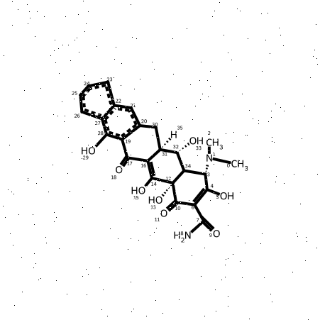 CN(C)[C@@H]1C(O)=C(C(N)=O)C(=O)[C@@]2(O)C(O)=C3C(=O)c4c(cc5ccccc5c4O)C[C@H]3[C@H](O)C12